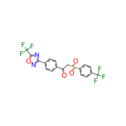 O=C(CS(=O)(=O)c1ccc(C(F)(F)F)cc1)c1ccc(-c2noc(C(F)(F)F)n2)cc1